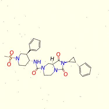 CS(=O)(=O)N1CC[C@@H](NC(=O)N2CCN3C(=O)N([C@H]4C[C@@H]4c4ccccc4)C(=O)[C@@H]3C2)[C@H](c2ccccc2)C1